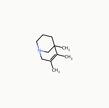 CC1=C(C)C2(C)CCCN(C1)C2